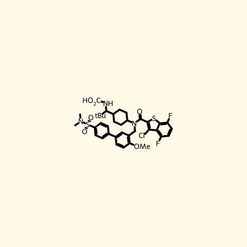 COc1ccc(-c2ccc(S(=O)(=O)N(C)C)cc2)cc1CN(C(=O)c1sc2c(F)ccc(F)c2c1Cl)C1CCC(C(NC(=O)O)C(C)(C)C)CC1